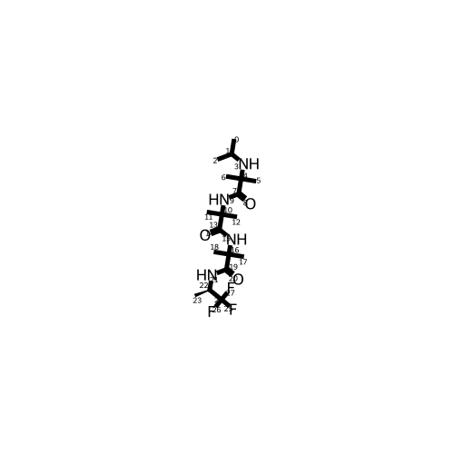 CC(C)NC(C)(C)C(=O)NC(C)(C)C(=O)NC(C)(C)C(=O)N[C@H](C)C(F)(F)F